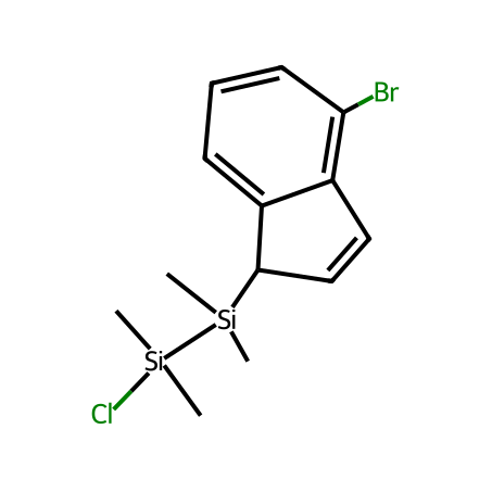 C[Si](C)(Cl)[Si](C)(C)C1C=Cc2c(Br)cccc21